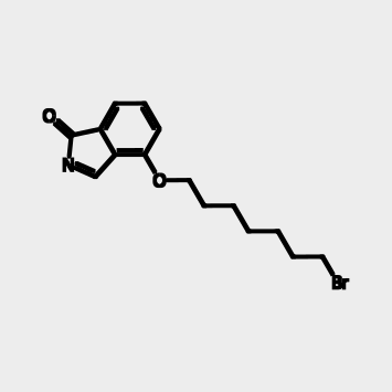 O=C1N=Cc2c(OCCCCCCCBr)cccc21